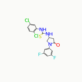 O=C1CC(NC(=S)Nc2cc(Cl)ccc2Cl)CN1c1cc(F)cc(F)c1